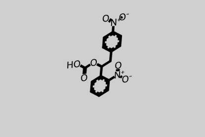 O=C(O)OC(Cc1ccc([N+](=O)[O-])cc1)c1ccccc1[N+](=O)[O-]